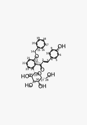 O=C(/C=C/c1ccc(O)cc1)c1c(OCc2ccccc2)cccc1[C@@H]1O[C@H](CO)[C@@H](O)[C@H](O)[C@H]1O